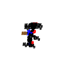 Br.CCCC1CN(CC(=O)c2cc(C(C)(C)C)c(O)c(C(C)(C)C)c2)C(=N)/C1=C/c1ccc(C(=O)N(C)C)cc1